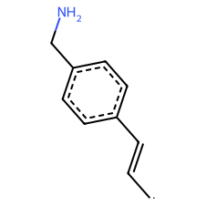 [CH2]C=Cc1ccc(CN)cc1